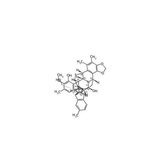 COc1c(C)cc2c(c1O)[C@@H]1[C@@H]3[C@@H]4SC[C@]5(N[C@@H](CO)Cc6c5[nH]c5ccc(C)cc65)C(=O)OC[C@@H](c5c6c(c(C)c(C)c54)OCO6)N3[C@@H](O)[C@H](C2)N1C